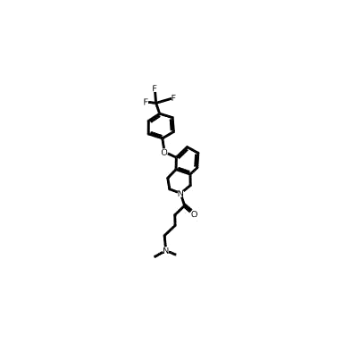 CN(C)CCCC(=O)N1CCc2c(cccc2Oc2ccc(C(F)(F)F)cc2)C1